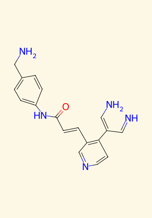 N=C/C(=C\N)c1ccncc1/C=C/C(=O)Nc1ccc(CN)cc1